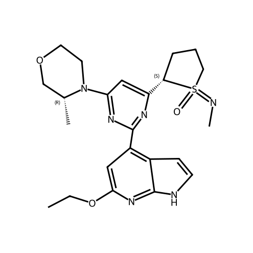 CCOc1cc(-c2nc([C@@H]3CCCS3(=O)=NC)cc(N3CCOC[C@H]3C)n2)c2cc[nH]c2n1